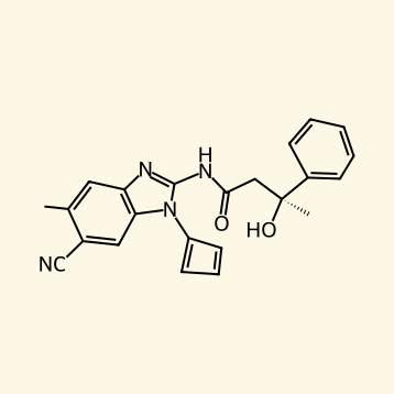 Cc1cc2nc(NC(=O)C[C@](C)(O)c3ccccc3)n(C3=CC=C3)c2cc1C#N